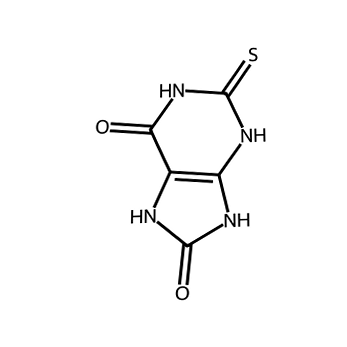 O=c1[nH]c2[nH]c(=S)[nH]c(=O)c2[nH]1